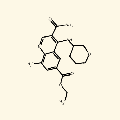 CCOC(=O)c1cc(C)c2ncc(C(N)=O)c(NC3CCCOC3)c2c1